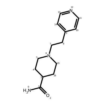 NC(=O)C1CCN(CCc2ccncc2)CC1